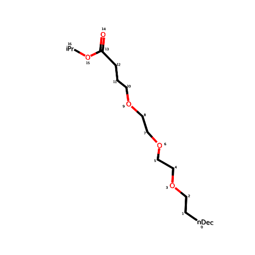 CCCCCCCCCCCCOCCOCCOCCCC(=O)OC(C)C